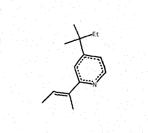 C/C=C(\C)c1cc(C(C)(C)CC)ccn1